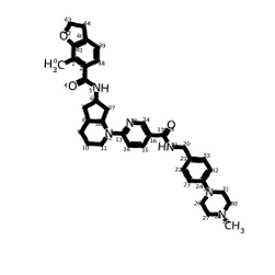 Cc1c(C(=O)NC2CC3CCCN(c4ccc(C(=O)NCc5ccc(N6CCN(C)CC6)cc5)cn4)C3C2)ccc2c1OCC2